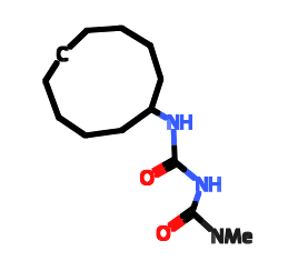 CNC(=O)NC(=O)NC1CCCCCCCCC1